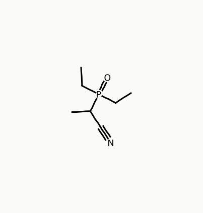 CCP(=O)(CC)C(C)C#N